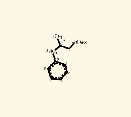 CCCCCCC[C](C)Nc1ccccc1